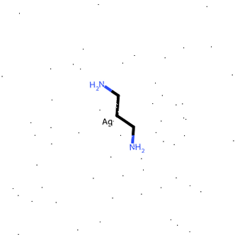 NCCCN.[Ag]